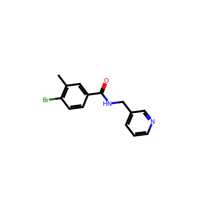 Cc1cc(C(=O)NCc2cccnc2)ccc1Br